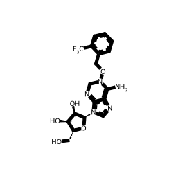 NC1=c2ncn([C@@H]3O[C@H](CO)[C@@H](O)[C@H]3O)c2=NCN1OCc1ccccc1C(F)(F)F